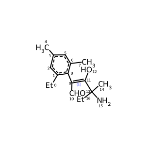 CCc1cc(C)cc(C)c1/C(C=O)=C(\O)C(C)(N)CC